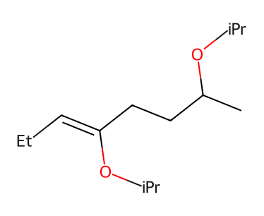 [CH2]CC=C(CCC(C)OC(C)C)OC(C)C